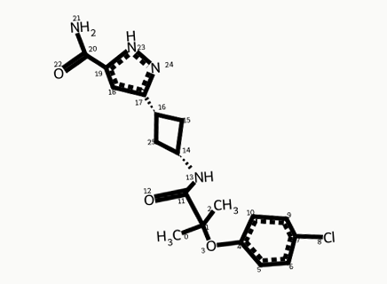 CC(C)(Oc1ccc(Cl)cc1)C(=O)N[C@H]1C[C@@H](c2cc(C(N)=O)[nH]n2)C1